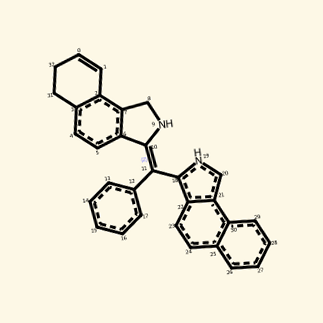 C1=Cc2c(ccc3c2CN/C3=C(/c2ccccc2)c2[nH]cc3c2ccc2ccccc23)CC1